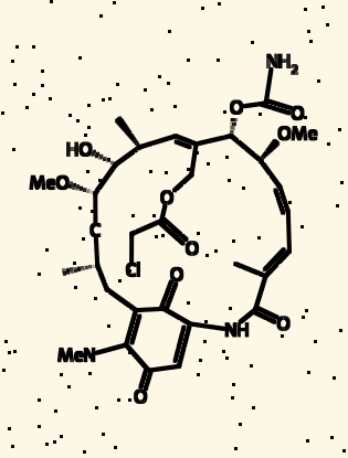 CNC1=C2C[C@H](C)C[C@H](OC)[C@H](O)[C@@H](C)/C=C(\COC(=O)CCl)[C@H](OC(N)=O)[C@@H](OC)/C=C\C=C(/C)C(=O)NC(=CC1=O)C2=O